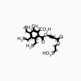 BCc1c(C)c(C(=O)O)c(C(=O)OC#CC(=O)OCCS(=O)(=O)O)c(CB)c1CB